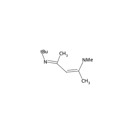 CN/C(C)=C\C(C)=N\C(C)(C)C